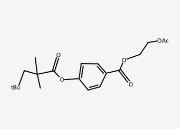 CC(=O)OCCOC(=O)c1ccc(OC(=O)C(C)(C)CC(C)(C)C)cc1